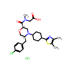 Cc1nc(C2CCC(N3C[C@H](C(=O)N(C)CC(=O)O)OC[C@@H]3Cc3ccc(Cl)cc3)CC2)sc1C.Cl